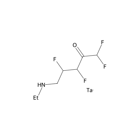 CCNCC(F)C(F)C(=O)C(F)F.[Ta]